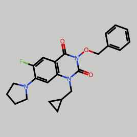 O=c1c2cc(F)c(N3CCCC3)cc2n(CC2CC2)c(=O)n1OCc1ccccc1